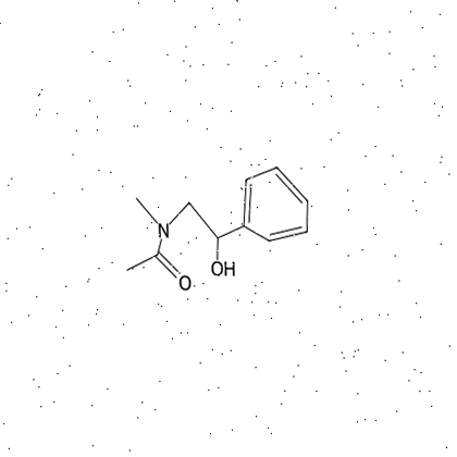 CC(=O)N(C)CC(O)c1ccccc1